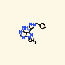 Cn1nc(-c2cnn(Cc3ccccc3)c2)c2c(N)ncnc21